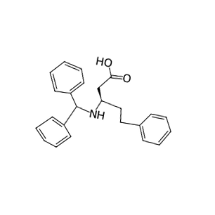 O=C(O)C[C@@H](CCc1ccccc1)NC(c1ccccc1)c1ccccc1